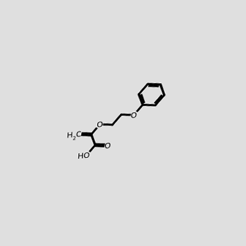 C=C(OCCOc1ccccc1)C(=O)O